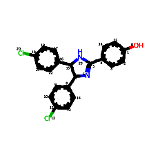 Oc1ccc(C2=NC(c3ccc(Cl)cc3)C(c3ccc(Cl)cc3)N2)cc1